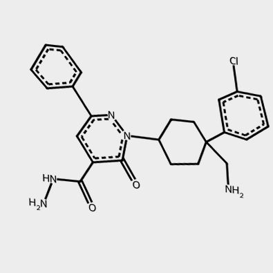 NCC1(c2cccc(Cl)c2)CCC(n2nc(-c3ccccc3)cc(C(=O)NN)c2=O)CC1